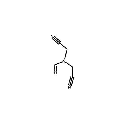 N#CCN(C=O)CC#N